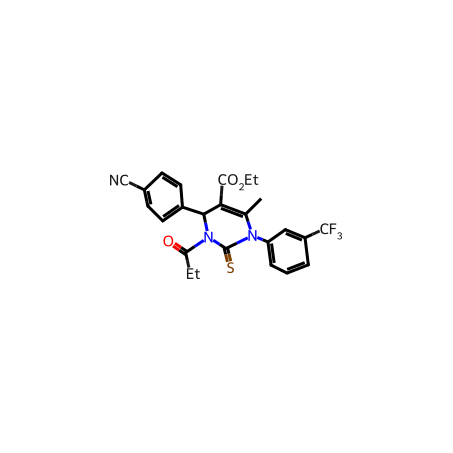 CCOC(=O)C1=C(C)N(c2cccc(C(F)(F)F)c2)C(=S)N(C(=O)CC)C1c1ccc(C#N)cc1